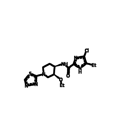 CCO[C@H]1CN(c2nncs2)CC[C@H]1NC(=O)c1nc(Cl)c(CC)[nH]1